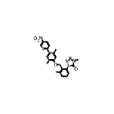 Cc1cc(-c2ccc([N+](=O)[O-])cn2)c(C)cc1OCc1c(C)cccc1-n1nnn(C)c1=O